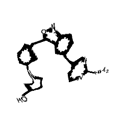 Nc1nccc(-c2ccc3noc(-c4cccc(N5CCC(O)C5)c4)c3c2)n1